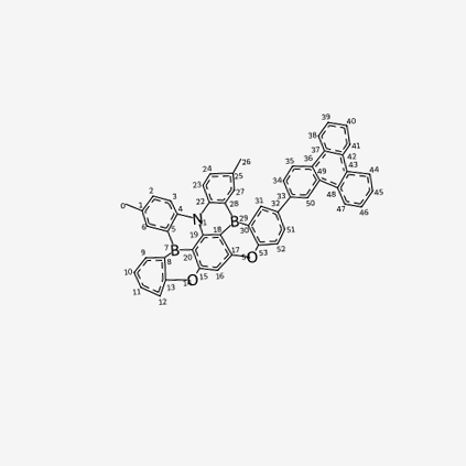 Cc1ccc2c(c1)B1c3ccccc3Oc3cc4c5c(c31)N2c1ccc(C)cc1B5c1cc(-c2ccc3c5ccccc5c5ccccc5c3c2)ccc1O4